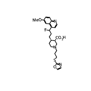 COc1ccc2nccc(C(F)CC[C@@H]3CCN(CCCSc4ncco4)C[C@@H]3C(=O)O)c2c1